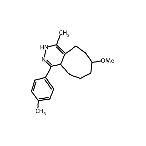 COC1CCCC2C(c3ccc(C)cc3)=NNC(C)=C2CC1